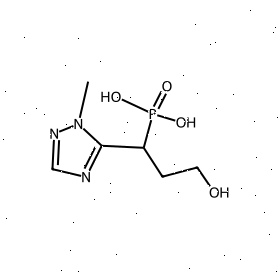 Cn1ncnc1C(CCO)P(=O)(O)O